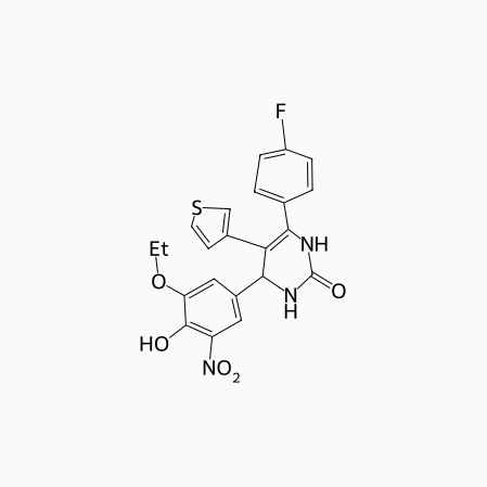 CCOc1cc(C2NC(=O)NC(c3ccc(F)cc3)=C2c2ccsc2)cc([N+](=O)[O-])c1O